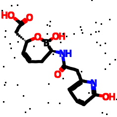 O=C(O)C[C@H]1C=CC[C@H](NC(=O)Cc2cccc(O)n2)B(O)O1